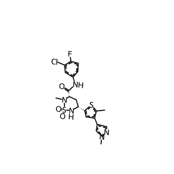 Cc1sc([C@H]2C[C@@H](C(=O)Nc3ccc(F)c(Cl)c3)N(C)S(=O)(=O)N2)cc1-c1cnn(C)c1